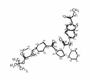 COC(=O)c1cc2cc(NC(=O)[C@@H]3[C@H](C4CCCCC4)CCN3C(=O)C3CCC([C@@H](CF)NC(=O)OC(C)(C)C)CC3)cnc2o1